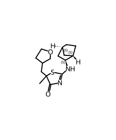 CC1(CC2CCOC2)SC(N[C@H]2C[C@H]3CC[C@H]2C3)=NC1=O